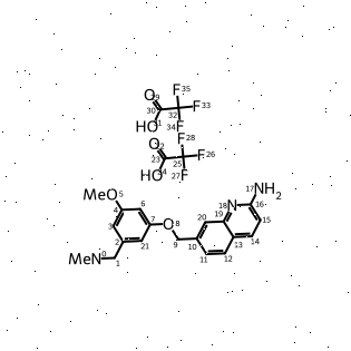 CNCc1cc(OC)cc(OCc2ccc3ccc(N)nc3c2)c1.O=C(O)C(F)(F)F.O=C(O)C(F)(F)F